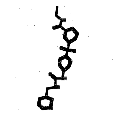 CCNC(=O)c1cccc(S(=O)(=O)c2ccc(NC(=O)NCc3cccnc3)cc2)c1